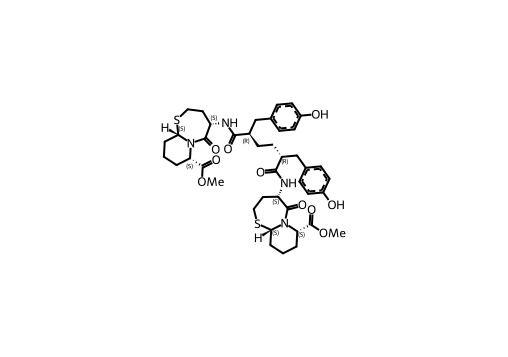 COC(=O)[C@@H]1CCC[C@@H]2SCC[C@H](NC(=O)[C@H](CC[C@H](Cc3ccc(O)cc3)C(=O)N[C@H]3CCS[C@H]4CCC[C@@H](C(=O)OC)N4C3=O)Cc3ccc(O)cc3)C(=O)N21